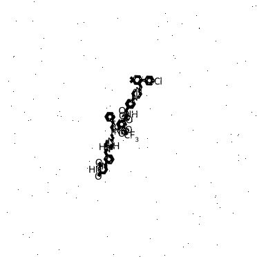 CC1(C)CCC(c2ccc(Cl)cc2)=C(CN2CCN(c3ccc(C(=O)NS(=O)(=O)c4ccc(N[C@H](CCN5C[C@H]6C[C@@H]5CN6Cc5cccc(N6CCC(=O)NC6=O)c5)CSc5ccccc5)c(S(=O)(=O)C(F)(F)F)c4)cc3)CC2)C1